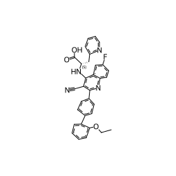 CCOc1ccccc1-c1ccc(-c2nc3ccc(F)cc3c(N[C@@H](Cc3ccccn3)C(=O)O)c2C#N)cc1